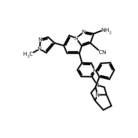 Cn1cc(-c2cc(-c3ccc(N4CC5CCC(C4)N5Cc4ccccc4)nc3)c3c(C#N)c(N)nn3c2)cn1